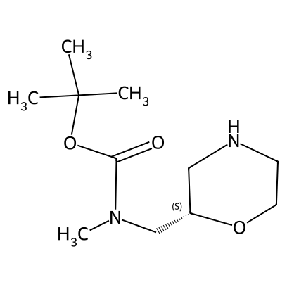 CN(C[C@@H]1CNCCO1)C(=O)OC(C)(C)C